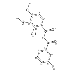 COc1ccc(C(=O)CC(=O)c2cccc(F)c2)c(O)c1OC